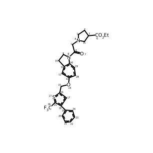 CCOC(=O)C1CCN(CC(=O)N2CCc3cc(OCc4cc(-c5ccccc5)c(C(F)(F)F)s4)ccc32)C1